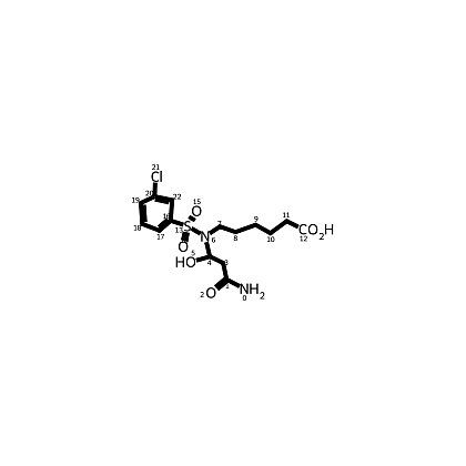 NC(=O)CC(O)N(CCCCCC(=O)O)S(=O)(=O)c1cccc(Cl)c1